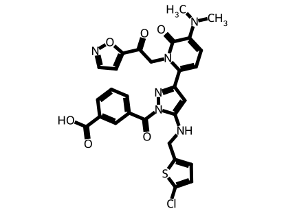 CN(C)c1ccc(-c2cc(NCc3ccc(Cl)s3)n(C(=O)c3cccc(C(=O)O)c3)n2)n(CC(=O)c2ccno2)c1=O